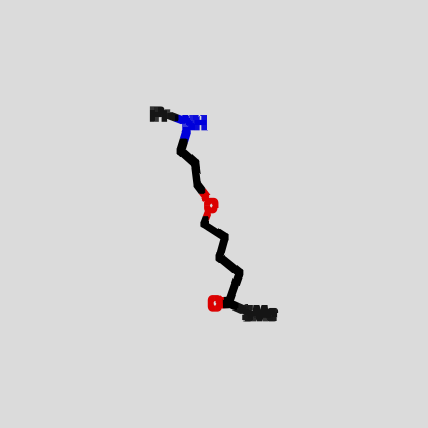 CSC(=O)CCCCOCCCNC(C)C